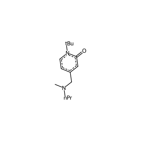 CCCN(C)Cc1ccn(C(C)(C)C)c(=O)c1